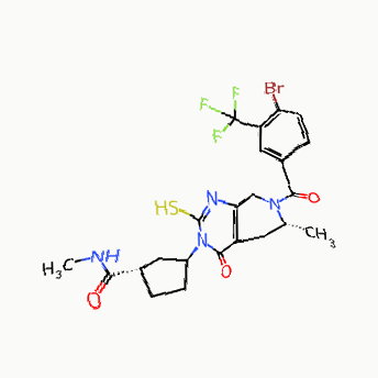 CNC(=O)[C@H]1CC[C@H](n2c(S)nc3c(c2=O)C[C@@H](C)N(C(=O)c2ccc(Br)c(C(F)(F)F)c2)C3)C1